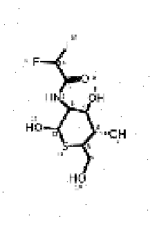 O=C(NC1C(O)[C@H](O)C(CO)S[C@H]1O)C(F)F